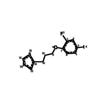 Fc1cc(I)ccc1OCCCc1cncs1